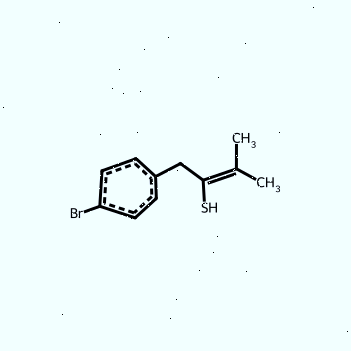 CC(C)=C(S)Cc1ccc(Br)cc1